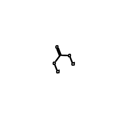 O=C(OCl)OCl